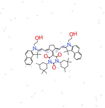 CC1CC(N2C(=O)C(=C3/C(=C/C=C4/N(CCO)c5ccc6ccccc6c5C4(C)C)CC/C3=C\C=C3\N(CCO)c4ccc5ccccc5c4C3(C)C)C(=O)N(C3CC(C)CC(C)(C)C3)C2=O)CC(C)(C)C1